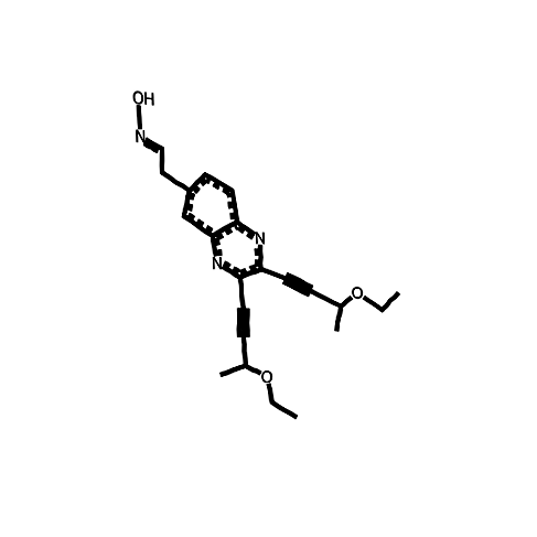 CCOC(C)C#Cc1nc2ccc(C/C=N/O)cc2nc1C#CC(C)OCC